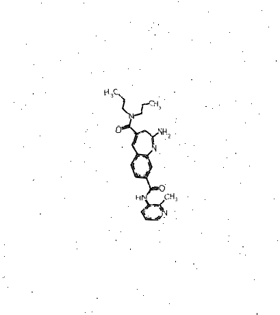 CCCN(CCC)C(=O)C1=Cc2ccc(C(=O)Nc3cccnc3C)cc2N=C(N)C1